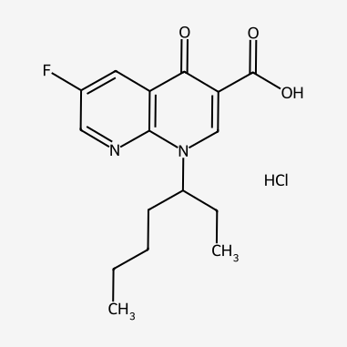 CCCCC(CC)n1cc(C(=O)O)c(=O)c2cc(F)cnc21.Cl